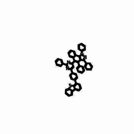 c1ccc(-c2nc(-c3ccc(-c4cccc5c4sc4ccccc45)cc3)cc(-c3c(-c4ccccc4)c4c(-c5ccccc5)nn(-c5ccccc5)c4c4ccccc34)n2)cc1